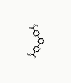 O=C(O)c1ccc(-c2cccc(-c3ccc(C(=O)O)cn3)c2)nc1